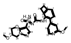 COc1cc(-c2ccc3c(c2NC(=O)N=[S@](N)(=O)c2cnn4c2OC[C@@H](OC)C4)CC3)ccn1